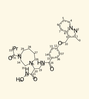 Cc1nn2ccccc2c1COc1ccc(C(=O)NCC(C(=O)NO)N2CCCCN(C(=O)C(C)C)CC2)cc1